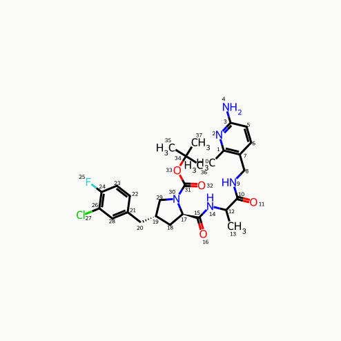 Cc1nc(N)ccc1CNC(=O)C(C)NC(=O)[C@H]1C[C@H](Cc2ccc(F)c(Cl)c2)CN1C(=O)OC(C)(C)C